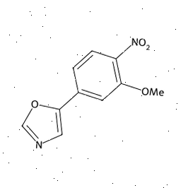 COc1cc(-c2cnco2)ccc1[N+](=O)[O-]